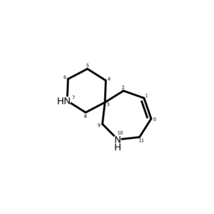 C1=CCC2(CCCNC2)CNC1